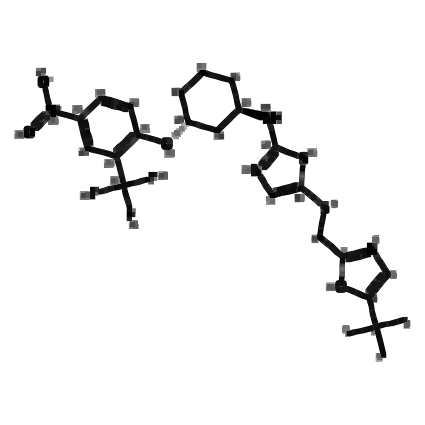 CC(C)(C)c1cnc(CSc2cnc(N[C@@H]3CCC[C@@H](Oc4ccc([N+](=O)[O-])cc4C(F)(F)F)C3)s2)o1